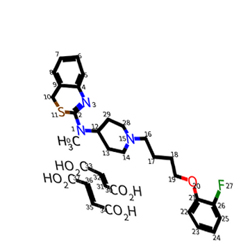 CN(C1=Nc2ccccc2CS1)C1CCN(CCCCOc2ccccc2F)CC1.O=C(O)/C=C/C(=O)O.O=C(O)/C=C/C(=O)O